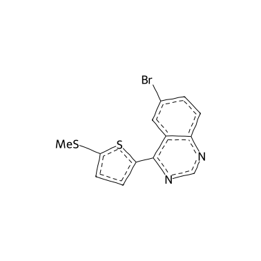 CSc1ccc(-c2ncnc3ccc(Br)cc23)s1